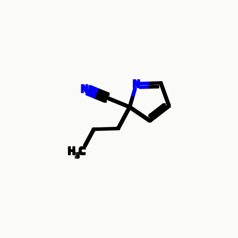 CCCC1(C#N)C=CC=N1